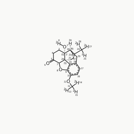 [2H]O[C@@]12CCC(=O)C3Oc4c(OC([2H])([2H])[2H])ccc5c4[C@@]31CCN(C([2H])([2H])[2H])[C@@H]2C5